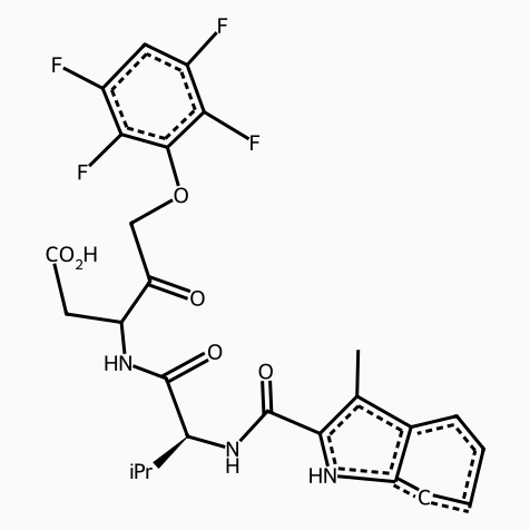 Cc1c(C(=O)N[C@H](C(=O)NC(CC(=O)O)C(=O)COc2c(F)c(F)cc(F)c2F)C(C)C)[nH]c2ccccc12